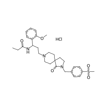 CCC(=O)NC(CCN1CCC2(CC1)CCN(Cc1ccc(S(C)(=O)=O)cc1)C2=O)c1ccccc1OC.Cl